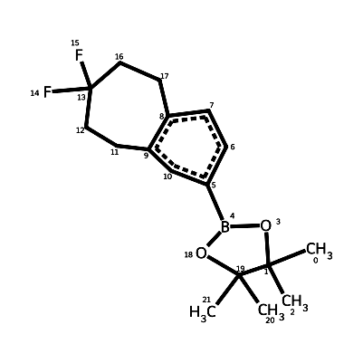 CC1(C)OB(c2ccc3c(c2)CCC(F)(F)CC3)OC1(C)C